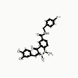 CN1c2ccc(C(=O)NCc3ccc(F)cc3)cc2C(=O)/C(=C\c2ccc(Cl)c(Cl)c2)[S+]1[O-]